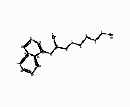 BrCCCCCCC(Br)Cc1cccc2ccccc12